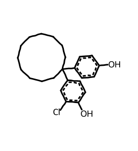 Oc1ccc(C2(c3ccc(O)c(Cl)c3)CCCCCCCCCCC2)cc1